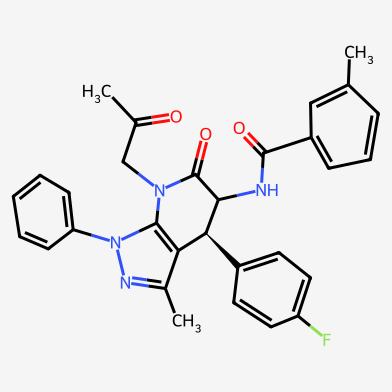 CC(=O)CN1C(=O)C(NC(=O)c2cccc(C)c2)[C@@H](c2ccc(F)cc2)c2c(C)nn(-c3ccccc3)c21